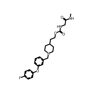 CNC(=O)CNC(=O)OCCC1CCN(Cc2cccc(Oc3ccc(F)cc3)c2)CC1